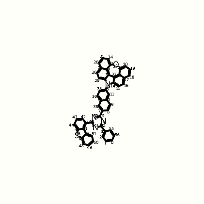 c1ccc(-c2nc(-c3ccc4cc(-n5c6ccc7cccc8oc9cccc%10ccc5c(c%109)c6c78)ccc4c3)nc(-c3cccc4sc5ccccc5c34)n2)cc1